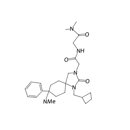 CNC1(c2ccccc2)CCC2(CC1)CN(CC(=O)NCC(=O)N(C)C)C(=O)N2CC1CCC1